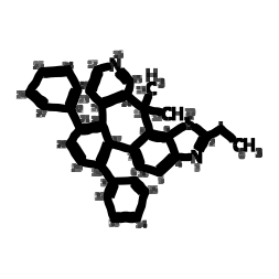 CCc1nc2ccc3c(c2s1)C(C)(C)c1cnccc1-c1c(-c2ccccc2)ccc(-c2ccccc2)c1-3